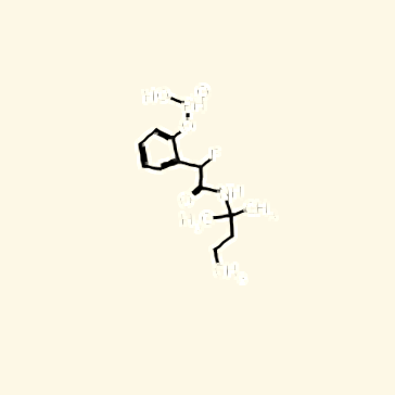 CCCC(C)(C)NC(=O)C(F)c1ccccc1O[PH](=O)O